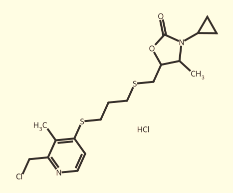 Cc1c(SCCCSCC2OC(=O)N(C3CC3)C2C)ccnc1CCl.Cl